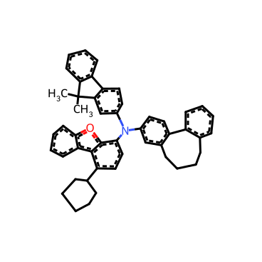 CC1(C)c2ccccc2-c2ccc(N(c3ccc4c(c3)CCCCc3ccccc3-4)c3ccc(C4CCCCC4)c4c3oc3ccccc34)cc21